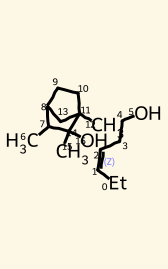 CC/C=C\CCO.CC1C2CCC(C)(C2)C1(C)O